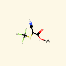 COC(=O)C(C#N)SC(F)(F)F